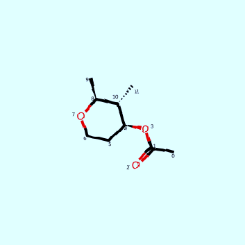 CC(=O)O[C@H]1CCO[C@@H](C)[C@@H]1C